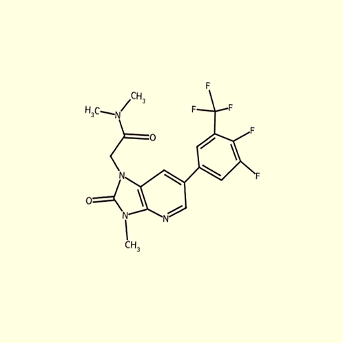 CN(C)C(=O)Cn1c(=O)n(C)c2ncc(-c3cc(F)c(F)c(C(F)(F)F)c3)cc21